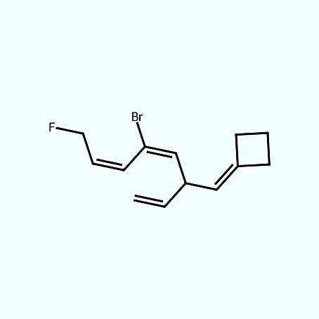 C=CC(C=C1CCC1)/C=C(Br)\C=C/CF